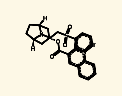 CC(C)n1c(=O)c(C(=O)O[C@H]2C[C@H]3CC[C@@H](C2)N3CCS(=O)(=O)c2ccccc2)cc2ccccc21